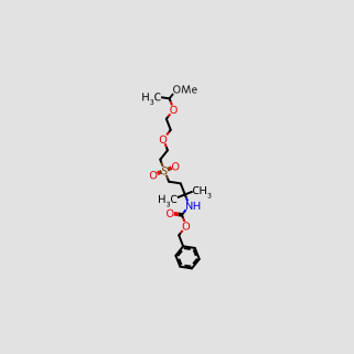 COC(C)OCCOCCS(=O)(=O)CCC(C)(C)NC(=O)OCc1ccccc1